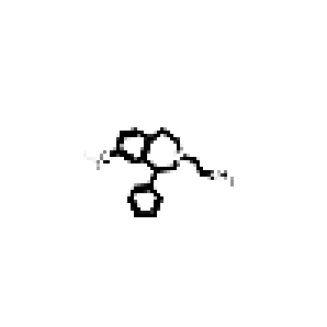 C=CCN1CCc2ccc(C)cc2C(c2ccccc2)C1